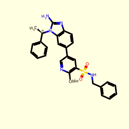 COc1ncc(-c2ccc3nc(N)n([C@H](C)c4ccccc4)c3c2)cc1S(=O)(=O)NCc1ccccc1